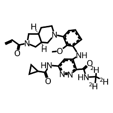 [2H]C([2H])([2H])NC(=O)c1nnc(NC(=O)C2CC2)cc1Nc1cccc(N2CC[C@@H]3CN(C(=O)C=C)C[C@@H]3C2)c1OC